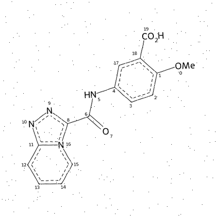 COc1ccc(NC(=O)c2nnc3ccccn23)cc1C(=O)O